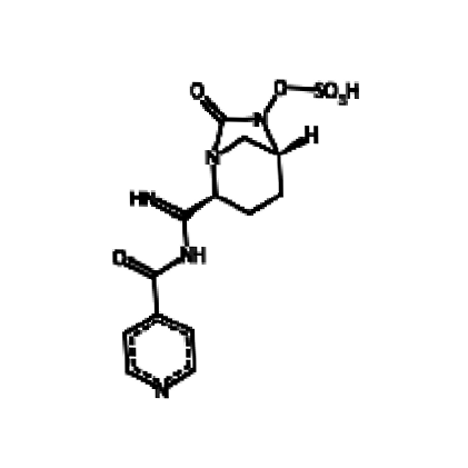 N=C(NC(=O)c1ccncc1)[C@@H]1CC[C@@H]2CN1C(=O)N2OS(=O)(=O)O